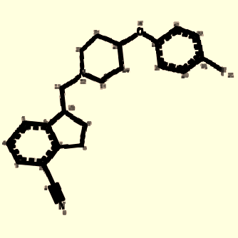 N#Cc1cccc2c1CCC2CN1CCC(Oc2ccc(F)cc2)CC1